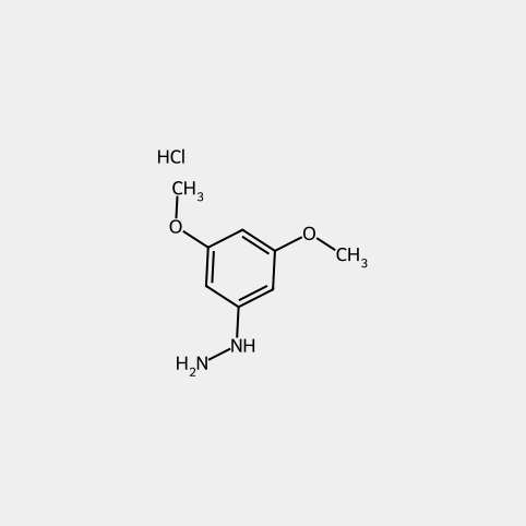 COc1cc(NN)cc(OC)c1.Cl